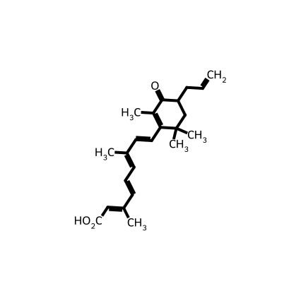 C=CCC1CC(C)(C)C(C=CC(C)=CC=CC(C)=CC(=O)O)=C(C)C1=O